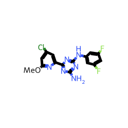 COc1cc(Cl)cc(-c2nc(N)nc(Nc3cc(F)cc(F)c3)n2)n1